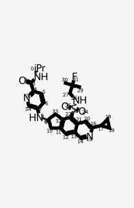 CC(C)NC(=O)c1ccc(N[C@@H]2Cc3cc4cnc(C5CC5)cc4c(S(=O)(=O)NCC(C)(C)F)c3C2)cn1